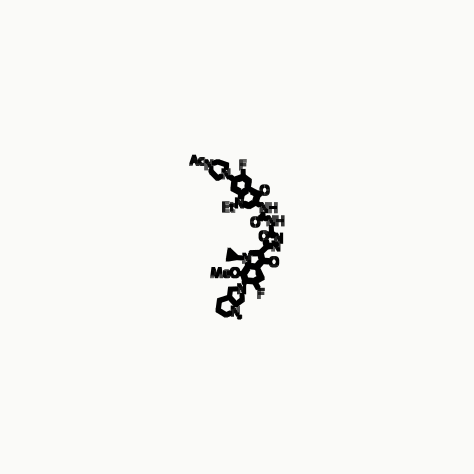 CCn1cc(NC(=O)Nc2nnc(-c3cn(C4CC4)c4c(OC)c(N5CC6CCCN(C)C6C5)c(F)cc4c3=O)o2)c(=O)c2cc(F)c(N3CCN(C(C)=O)CC3)cc21